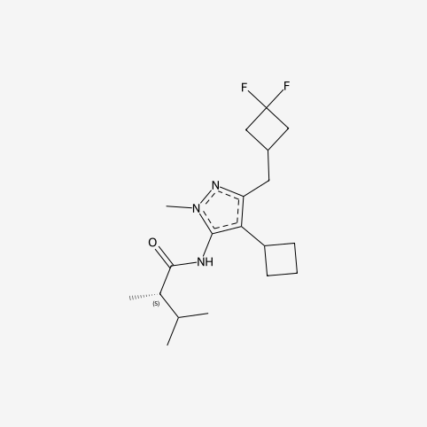 CC(C)[C@H](C)C(=O)Nc1c(C2CCC2)c(CC2CC(F)(F)C2)nn1C